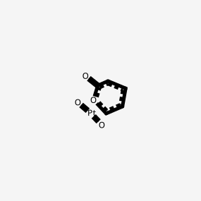 O=c1cccco1.[O]=[Pt]=[O]